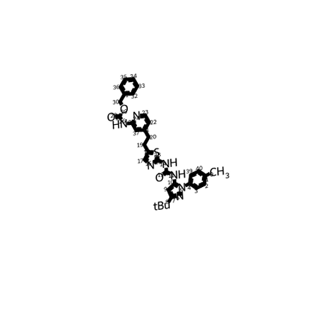 Cc1ccc(-n2nc(C(C)(C)C)cc2NC(=O)Nc2ncc(CCc3ccnc(NC(=O)OCc4ccccc4)c3)s2)cc1